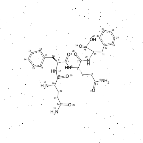 NC(=O)CC[C@H](NC(=O)[C@H](Cc1ccccc1)NC(=O)[C@@H](N)CCC(N)=O)C(=O)N[C@@H](Cc1ccccc1)C(=O)O